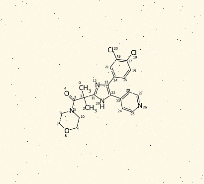 CC(C)(C(=O)N1CCOCC1)c1nc(-c2ccc(Cl)c(Cl)c2)c(-c2ccncc2)[nH]1